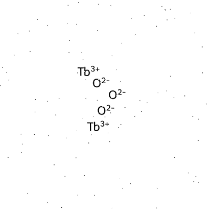 [O-2].[O-2].[O-2].[Tb+3].[Tb+3]